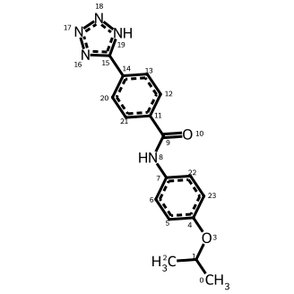 CC(C)Oc1ccc(NC(=O)c2ccc(-c3nnn[nH]3)cc2)cc1